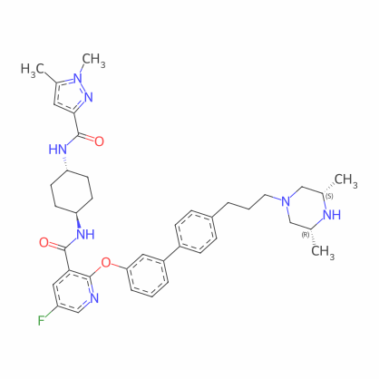 Cc1cc(C(=O)N[C@H]2CC[C@H](NC(=O)c3cc(F)cnc3Oc3cccc(-c4ccc(CCCN5C[C@@H](C)N[C@@H](C)C5)cc4)c3)CC2)nn1C